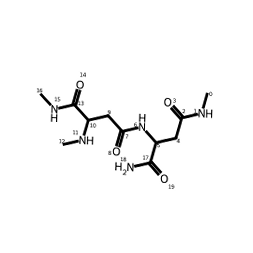 CNC(=O)CC(NC(=O)CC(NC)C(=O)NC)C(N)=O